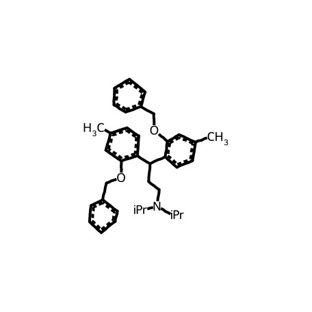 Cc1ccc(C(CCN(C(C)C)C(C)C)c2ccc(C)cc2OCc2ccccc2)c(OCc2ccccc2)c1